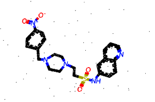 O=[N+]([O-])c1ccc(CN2CCN(CCS(=O)(=O)Nc3ccc4ncccc4c3)CC2)cc1